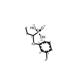 CCC(Oc1cccc(F)c1)P(=O)(O)O